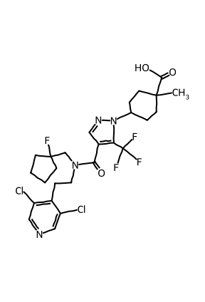 CC1(C(=O)O)CCC(n2ncc(C(=O)N(CCc3c(Cl)cncc3Cl)CC3(F)CCCC3)c2C(F)(F)F)CC1